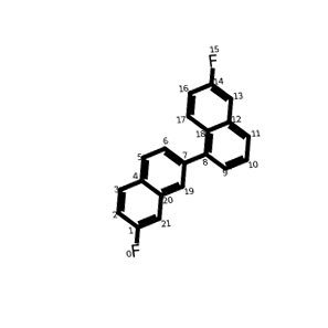 Fc1ccc2ccc(-c3[c]ccc4cc(F)ccc34)cc2c1